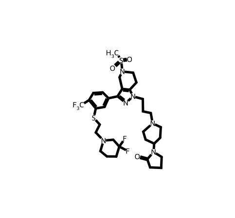 CS(=O)(=O)N1CCc2c(c(-c3ccc(C(F)(F)F)c(SCCN4CCCC(F)(F)C4)c3)nn2CCCN2CCC(N3CCCC3=O)CC2)C1